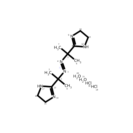 CC(C)(/N=N/C(C)(C)C1=NCCN1)C1=NCCN1.Cl.Cl.O.O